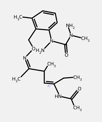 CC/C(=C\C(C)C(C)=NOCc1c(C)cccc1N(N)C(=O)N(C)N)NC(C)=O